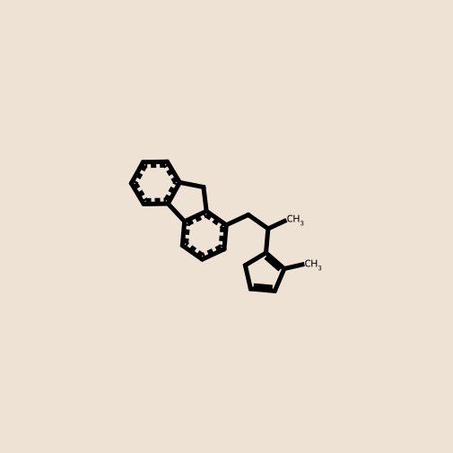 CC1=C(C(C)Cc2cccc3c2Cc2ccccc2-3)CC=C1